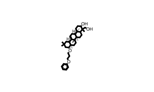 CC1(C)C[C@@H]2C3=CC[C@@H]4[C@@]5(C)CC[C@H](O)C(C)(CO)C5CC[C@@]4(C)[C@]3(C)CC[C@@]2(C)[C@H](OCCCOc2ccccc2)C1